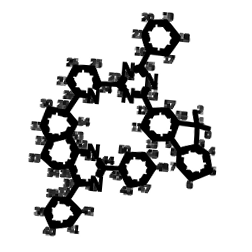 CC1(C)c2ccccc2-c2ccc(-c3nc(-c4ccccc4)nc(-c4cccc(-c5ccc6ccc7c(-c8ccccc8)nc(-c8ccccc8)nc7c6c5)n4)n3)cc21